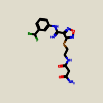 N=C(Nc1cccc(C(F)F)c1)c1nonc1SCCNC(=O)CC(N)=O